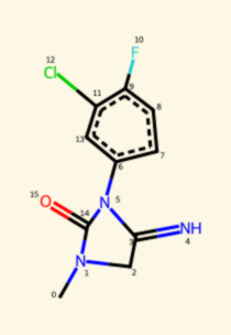 CN1CC(=N)N(c2ccc(F)c(Cl)c2)C1=O